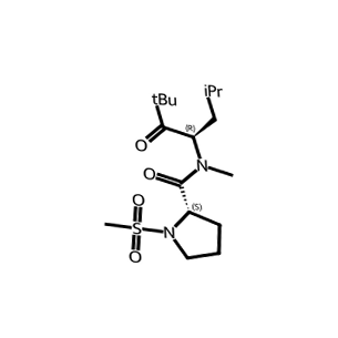 CC(C)C[C@H](C(=O)C(C)(C)C)N(C)C(=O)[C@@H]1CCCN1S(C)(=O)=O